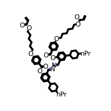 C=CC(=O)OCCCCCCOc1ccc(C(=O)Oc2ccc(C3CCC(CCC)CC3)cc2/C=N/N=C/c2cc(C3CCC(CCC)CC3)ccc2OC(=O)c2ccc(OCCCCCCOC(=O)C=C)cc2)cc1